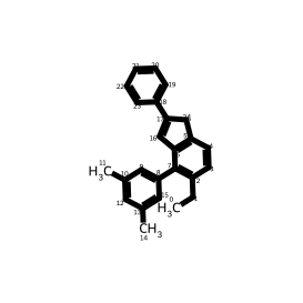 CCc1ccc2c(c1-c1cc(C)cc(C)c1)C=C(c1ccccc1)[CH]2